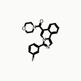 O=C(c1cn2c(-c3cccc(F)c3)ncc2c2ccccc12)N1CCOCC1